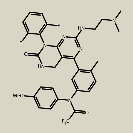 COc1ccc(N(C(=O)C(F)(F)F)c2ccc(C)c(-c3nc(NCCN(C)C)nc4c3CNC(=O)N4c3c(F)cccc3F)c2)cc1